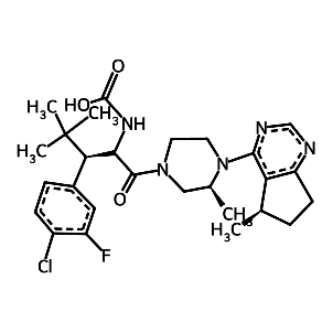 C[C@@H]1CCc2ncnc(N3CCN(C(=O)C(NC(=O)O)[C@@H](c4ccc(Cl)c(F)c4)C(C)(C)C)C[C@@H]3C)c21